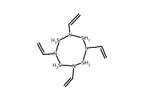 C=CN1[SiH2]N(C=C)[SiH2]N(C=C)[SiH2]N(C=C)[SiH2]1